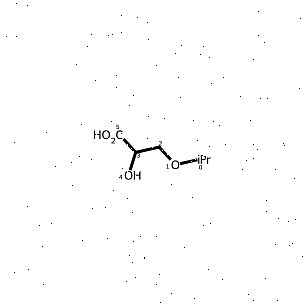 CC(C)OCC(O)C(=O)O